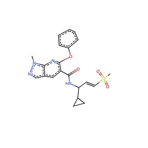 Cn1ncc2cc(C(=O)NC(/C=C/S(C)(=O)=O)C3CC3)c(Oc3ccccc3)nc21